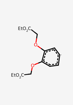 CCOC(=O)COc1c[c]ccc1OCC(=O)OCC